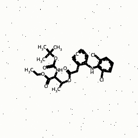 CCOC(=O)C(NC(=O)OC(C)(C)C)C(C)OC(=O)Cc1ccccc1Nc1c(Cl)cccc1Cl